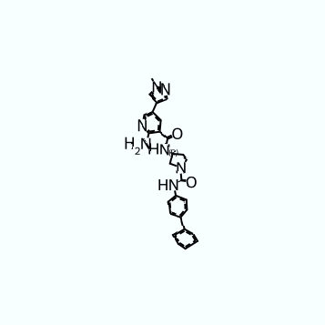 Cn1cc(-c2cnc(N)c(C(=O)N[C@@H]3CCN(C(=O)Nc4ccc(-c5ccccc5)cc4)C3)c2)cn1